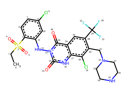 CCS(=O)(=O)c1ccc(Cl)cc1Nn1c(=O)[nH]c2c(Cl)c(CN3CCNCC3)c(C(F)(F)F)cc2c1=O